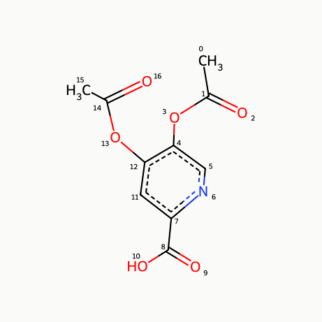 CC(=O)Oc1cnc(C(=O)O)cc1OC(C)=O